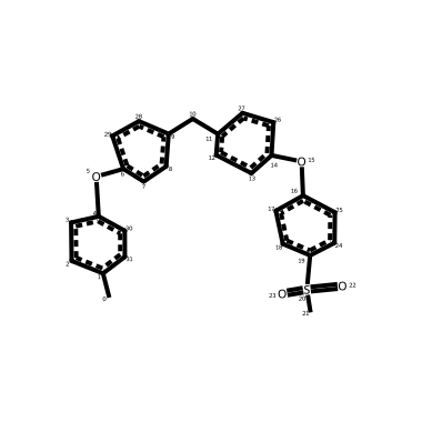 Cc1ccc(Oc2ccc(Cc3ccc(Oc4ccc(S(C)(=O)=O)cc4)cc3)cc2)cc1